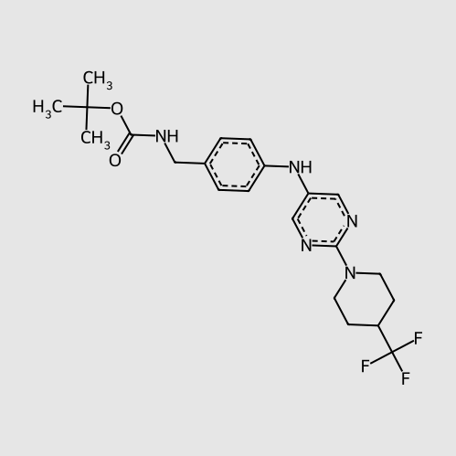 CC(C)(C)OC(=O)NCc1ccc(Nc2cnc(N3CCC(C(F)(F)F)CC3)nc2)cc1